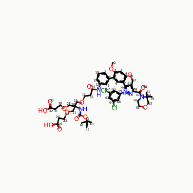 COc1cc2c(cc1-c1cccc(NC(=O)CCOCC(COCCC(=O)O)(COCCC(=O)O)NC(=O)OC(C)(C)C)c1)-c1c(c(C(=O)N3CCOCC3(C)C)nn1-c1cc(Cl)cc(Cl)c1)CO2